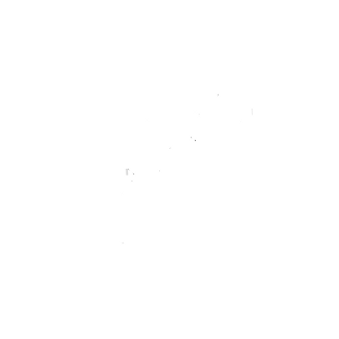 CC(C)(C)OC(=O)NCc1nc(CO)co1